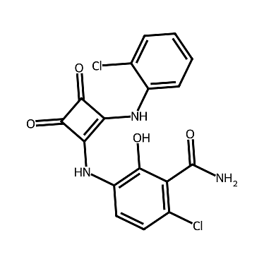 NC(=O)c1c(Cl)ccc(Nc2c(Nc3ccccc3Cl)c(=O)c2=O)c1O